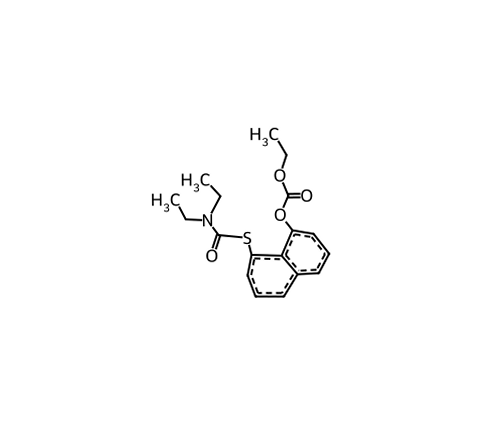 CCOC(=O)Oc1cccc2cccc(SC(=O)N(CC)CC)c12